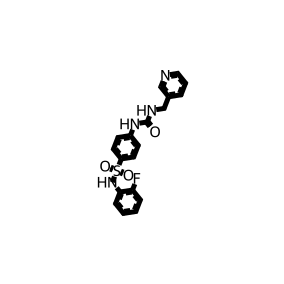 O=C(NCc1cccnc1)Nc1ccc(S(=O)(=O)Nc2ccccc2F)cc1